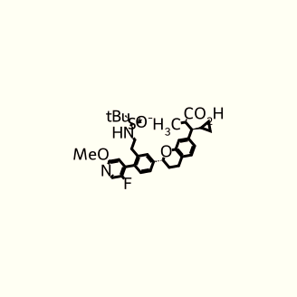 COc1cc(-c2ccc([C@H]3CCc4ccc([C@H](C5CC5)[C@H](C)C(=O)O)cc4O3)cc2CCN[S@@+]([O-])C(C)(C)C)c(F)cn1